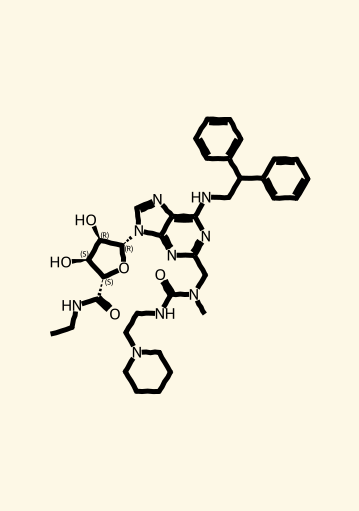 CCNC(=O)[C@H]1O[C@@H](n2cnc3c(NCC(c4ccccc4)c4ccccc4)nc(CN(C)C(=O)NCCN4CCCCC4)nc32)[C@H](O)[C@@H]1O